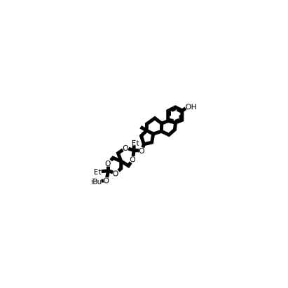 CCC(C)OC1(CC)OCC2(CO1)COC(CC)(OC1CC3C4CCc5cc(O)ccc5C4CCC3(C)C1)OC2